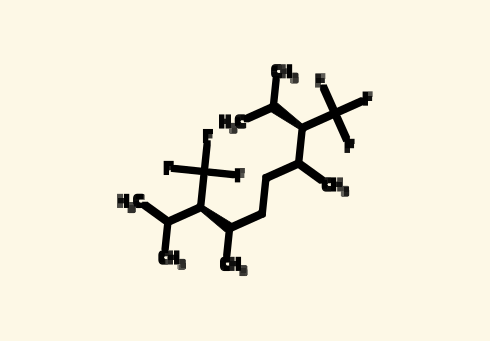 CC(C)[C@H](C(C)CCC(C)[C@@H](C(C)C)C(F)(F)F)C(F)(F)F